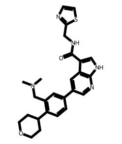 CN(C)Cc1cc(-c2cnc3[nH]cc(C(=O)NCc4nccs4)c3c2)ccc1C1CCOCC1